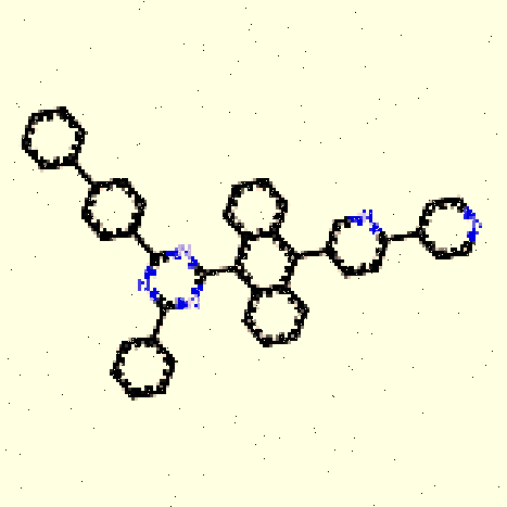 c1ccc(-c2ccc(-c3nc(-c4ccccc4)nc(-c4c5ccccc5c(-c5ccc(-c6ccncc6)nc5)c5ccccc45)n3)cc2)cc1